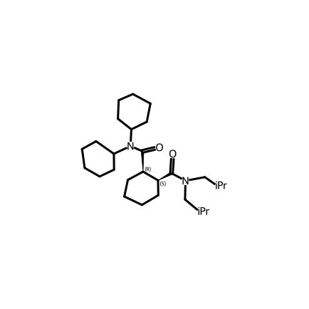 CC(C)CN(CC(C)C)C(=O)[C@H]1CCCC[C@H]1C(=O)N(C1CCCCC1)C1CCCCC1